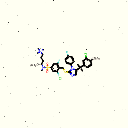 COc1ccc(C(C)(C)c2cnc(SCc3c(F)cc(S(=O)(=O)N(C)[C@@H](CCC[N+](C)(C)C)C(=O)O)cc3F)n2-c2ccc(F)cc2)cc1Cl.[Cl-]